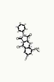 CNc1cc(F)cc2c(Cl)c3c(nc12)C(=O)N(c1ccccc1)C3=O